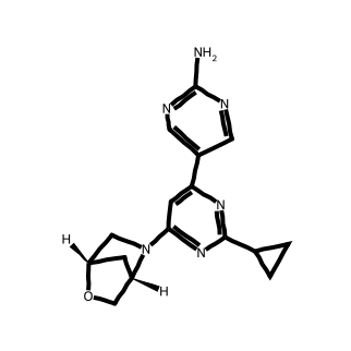 Nc1ncc(-c2cc(N3C[C@@H]4C[C@H]3CO4)nc(C3CC3)n2)cn1